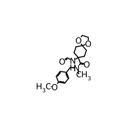 COc1ccc(CN(C)C(=O)C2(NC=O)CCC3(CC2)OCCO3)cc1